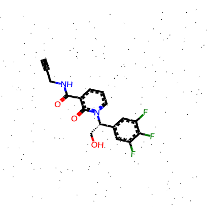 C#CCNC(=O)c1cccn([C@@H](CO)c2cc(F)c(F)c(F)c2)c1=O